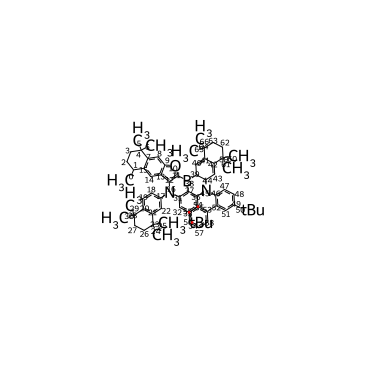 CC1CCC(C)(C)c2cc3oc4c(c3cc21)N(c1ccc2c(c1)C(C)(C)CCC2(C)C)c1cc(C(C)(C)C)cc2c1B4C1C=C3C(=CC1N2c1ccc(C(C)(C)C)cc1-c1ccccc1)C(C)(C)CCC3(C)C